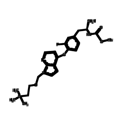 CC(C)(C)OC(=O)N[C@@H](Cc1ccc(Oc2ccnc3c2ccn3COCC[Si](C)(C)C)c(F)c1)C(=O)O